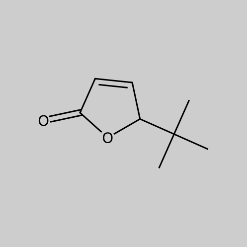 CC(C)(C)C1C=CC(=O)O1